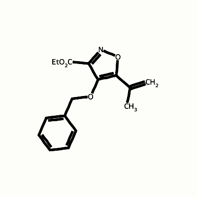 C=C(C)c1onc(C(=O)OCC)c1OCc1ccccc1